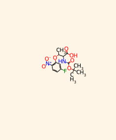 CC(Oc1cc(F)ccc1[N+](=O)[O-])C(NC(=O)OC(C)(C)C)C(=O)O